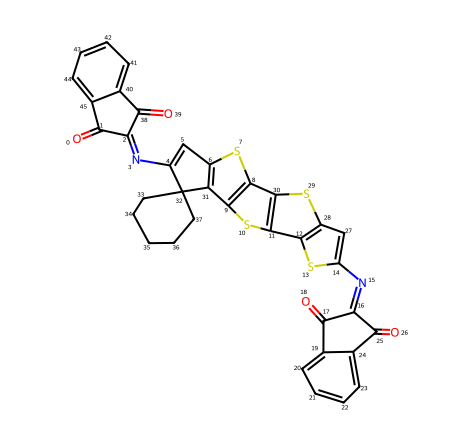 O=c1c(=NC2=Cc3sc4c(sc5c6sc(N=c7c(=O)c8ccccc8c7=O)cc6sc45)c3C23CCCCC3)c(=O)c2ccccc12